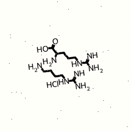 Cl.N=C(N)NCCCC(N)C(=O)O.N=C(N)NCCCCN